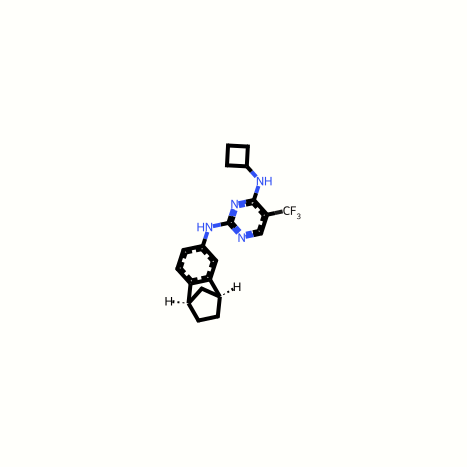 FC(F)(F)c1cnc(Nc2ccc3c(c2)[C@H]2CC[C@@H]3C2)nc1NC1CCC1